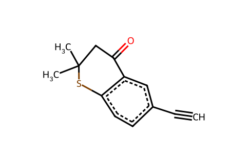 C#Cc1ccc2c(c1)C(=O)CC(C)(C)S2